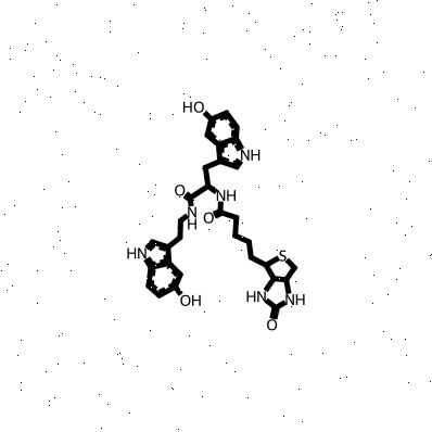 O=C(CCCCC1SCC2NC(=O)NC21)NC(Cc1c[nH]c2ccc(O)cc12)C(=O)NCCc1c[nH]c2ccc(O)cc12